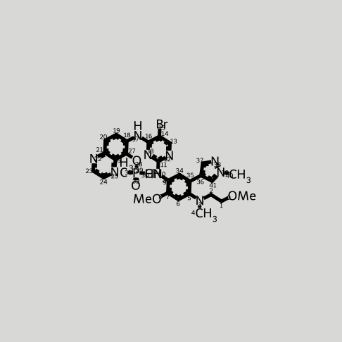 COCCN(C)c1cc(OC)c(Nc2ncc(Br)c(Nc3ccc4nccnc4c3OP(C)(C)=O)n2)cc1-c1cnn(C)c1